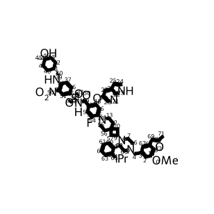 COc1cc(CN2CCN(C3CC4(CCN(c5cc(Oc6cnc7[nH]ccc7c6)c(C(=O)NS(=O)(=O)c6ccc(NC[C@H]7CC[C@](C)(O)CC7)c([N+](=O)[O-])c6)cc5F)CC4)C3)[C@H](c3ccccc3C(C)C)C2)cc2cc(C)oc12